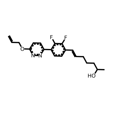 C=CCOc1ccc(-c2ccc(C=CCCCC(C)O)c(F)c2F)nn1